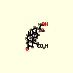 C[C@]12CC[C@H]3[C@@H](CCC4=CC(=O)CC(CC(=O)O)[C@@]43C)[C@@H]1CC[C@@H]2C(=O)CO